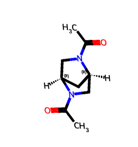 CC(=O)N1C[C@H]2C[C@@H]1CN2C(C)=O